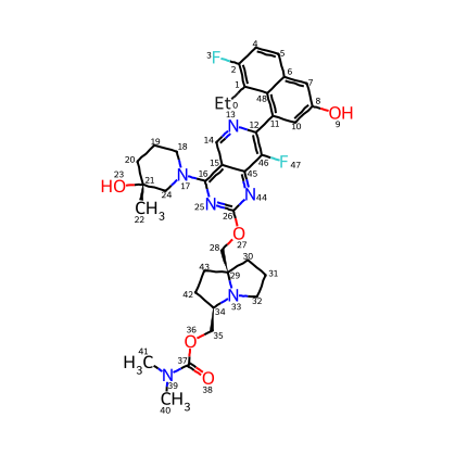 CCc1c(F)ccc2cc(O)cc(-c3ncc4c(N5CCC[C@@](C)(O)C5)nc(OC[C@@]56CCCN5[C@@H](COC(=O)N(C)C)CC6)nc4c3F)c12